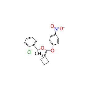 CC(OC(Oc1ccc([N+](=O)[O-])cc1)=C1CCC1)c1ccccc1Cl